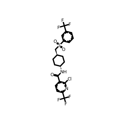 O=C(N[C@H]1CC[C@H](CS(=O)(=O)c2cccc(C(F)(F)F)c2)CC1)c1ccc(C(F)(F)F)nc1Cl